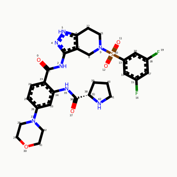 O=C(Nc1n[nH]c2c1CN(S(=O)(=O)c1cc(F)cc(F)c1)CC2)c1ccc(N2CCOCC2)cc1NC(=O)[C@@H]1CCCN1